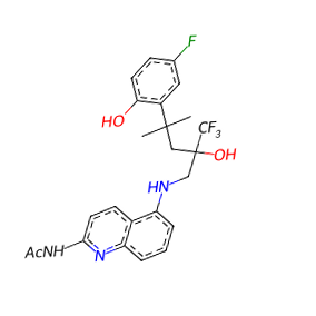 CC(=O)Nc1ccc2c(NCC(O)(CC(C)(C)c3cc(F)ccc3O)C(F)(F)F)cccc2n1